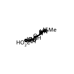 CSc1ncc(-c2cn(CCCCCC(=O)NCC(=O)NCC(=O)NC(Cc3ccccc3)C(=O)O)nn2)cn1